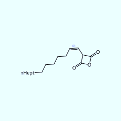 CCCCCCCCCCCC/C=C\C1C(=O)OC1=O